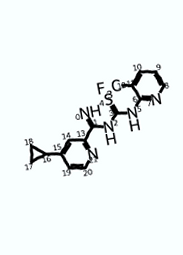 N=C(NC(=S)Nc1ncccc1C(F)(F)F)c1cc(C2CC2)ccn1